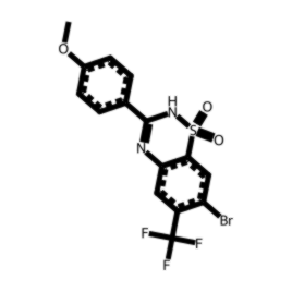 COc1ccc(C2=Nc3cc(C(F)(F)F)c(Br)cc3S(=O)(=O)N2)cc1